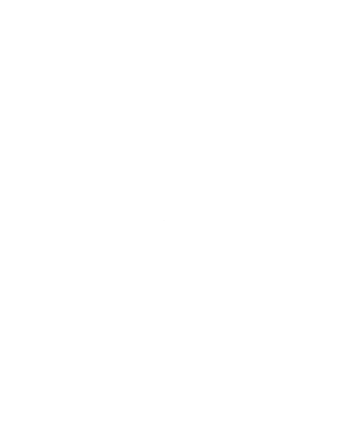 O=P(O)(O)C=C=S